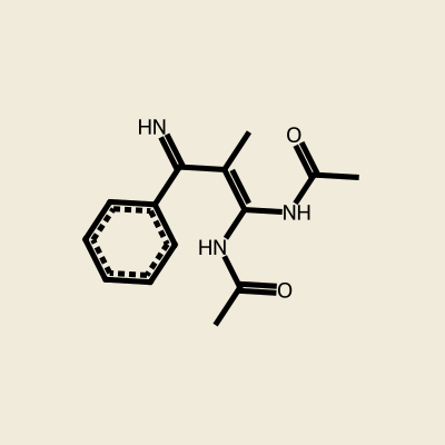 CC(=O)NC(NC(C)=O)=C(C)C(=N)c1ccccc1